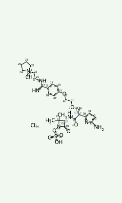 CC1(C)[C@H](NC(=O)/C(=N\OCCOc2ccc(C(=N)NCC[N+]3(C)CCCC3)cc2)c2csc(N)n2)C(=O)N1OS(=O)(=O)O.[Cl-]